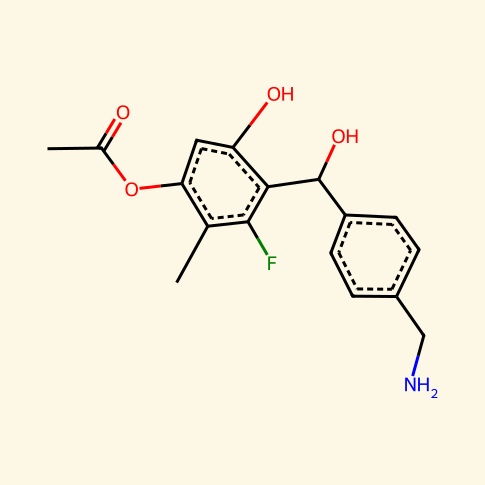 CC(=O)Oc1cc(O)c(C(O)c2ccc(CN)cc2)c(F)c1C